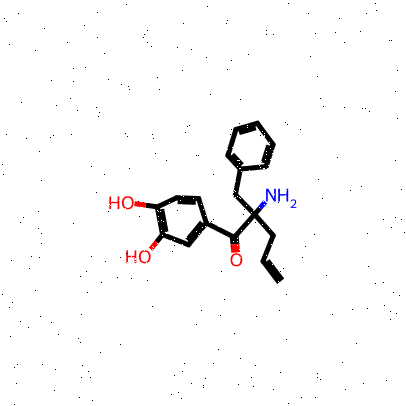 C=CCC(N)(Cc1ccccc1)C(=O)c1ccc(O)c(O)c1